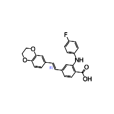 O=C(O)c1ccc(/C=C/c2ccc3c(c2)OCCO3)cc1Nc1ccc(F)cc1